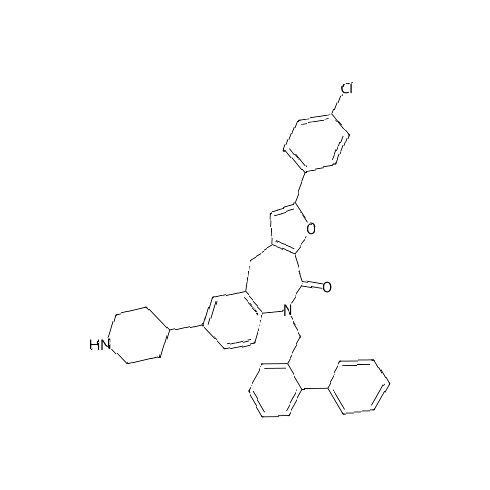 O=C1c2oc(-c3ccc(Cl)cc3)cc2Cc2cc(C3CCNCC3)ccc2N1Cc1ccccc1-c1ccccc1